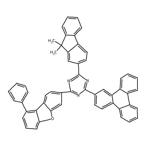 CC1(C)c2ccccc2-c2ccc(-c3nc(-c4ccc5c(c4)oc4cccc(-c6ccccc6)c45)nc(-c4ccc5c6ccccc6c6ccccc6c5c4)n3)cc21